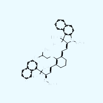 CCCC/N=C(\C=C\C1=C(SCC(CC)CCCC)C(=C/C=C2/N(CCCC)c3ccc4ccccc4c3C2(C)C)/CCC1)C(C)(C)c1cccc2ccccc12